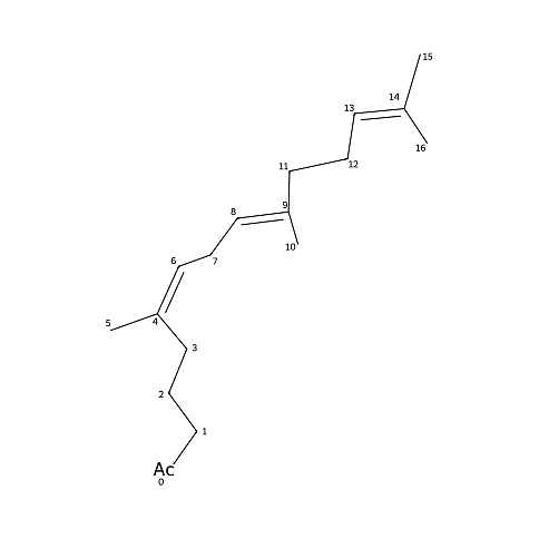 CC(=O)CCC/C(C)=C\C/C=C(\C)CCC=C(C)C